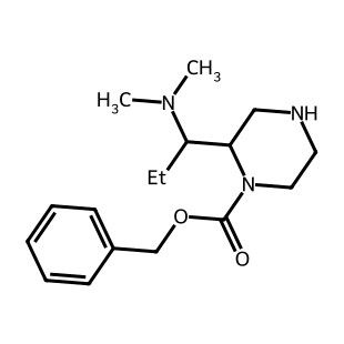 CCC(C1CNCCN1C(=O)OCc1ccccc1)N(C)C